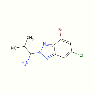 CC(C#N)C(N)n1nc2cc(Cl)cc(Br)c2n1